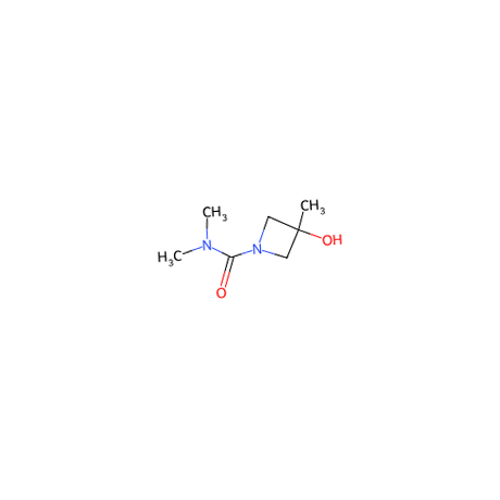 CN(C)C(=O)N1CC(C)(O)C1